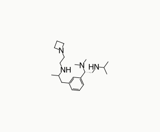 CC(C)NC[C@H](c1cccc(CC(C)NCCN2CCC2)c1)N(C)C